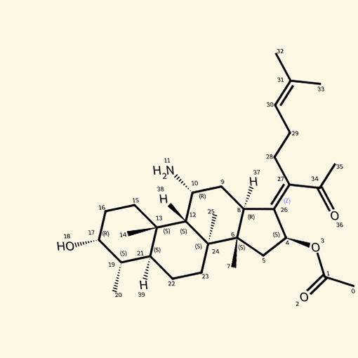 CC(=O)O[C@H]1C[C@@]2(C)[C@@H](C[C@@H](N)[C@H]3[C@@]4(C)CC[C@@H](O)[C@@H](C)[C@@H]4CC[C@@]32C)/C1=C(\CCC=C(C)C)C(C)=O